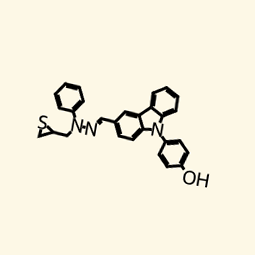 Oc1ccc(-n2c3ccccc3c3cc(/C=N/N(CC4CS4)c4ccccc4)ccc32)cc1